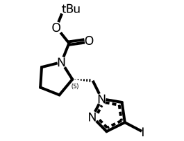 CC(C)(C)OC(=O)N1CCC[C@H]1Cn1cc(I)cn1